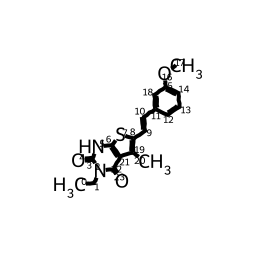 CCn1c(=O)[nH]c2sc(C=Cc3cccc(OC)c3)c(C)c2c1=O